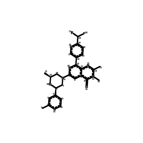 Cc1cc([C@@H]2CN(c3cc4c(=O)n(C)c(C)nc4c(-c4ccc(C(F)F)nc4)n3)C[C@H](C)O2)ccn1